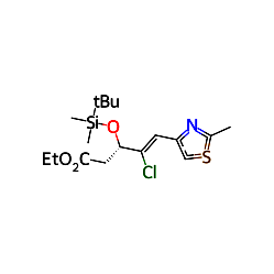 CCOC(=O)C[C@H](O[Si](C)(C)C(C)(C)C)/C(Cl)=C/c1csc(C)n1